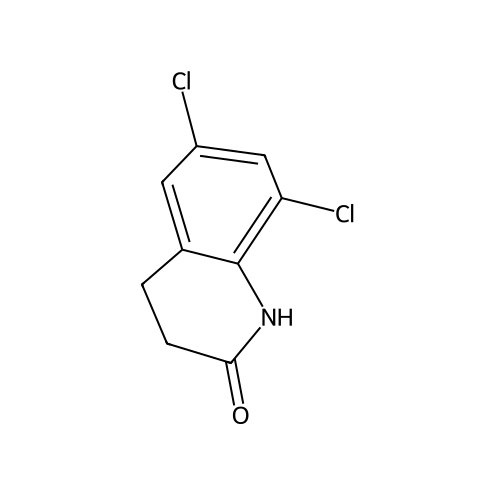 O=C1CCc2cc(Cl)cc(Cl)c2N1